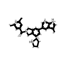 Cc1cc(C(=O)N2Cc3cc(-c4cnc5[nH]cc(C)c5c4)cc([C@@H]4CCCN4)c3C2)cc(C)n1